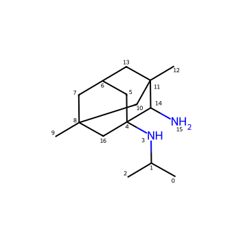 CC(C)NC12CC3CC(C)(CC(C)(C3)C1N)C2